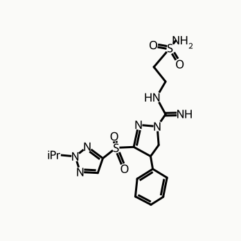 CC(C)n1ncc(S(=O)(=O)C2=NN(C(=N)NCCS(N)(=O)=O)CC2c2ccccc2)n1